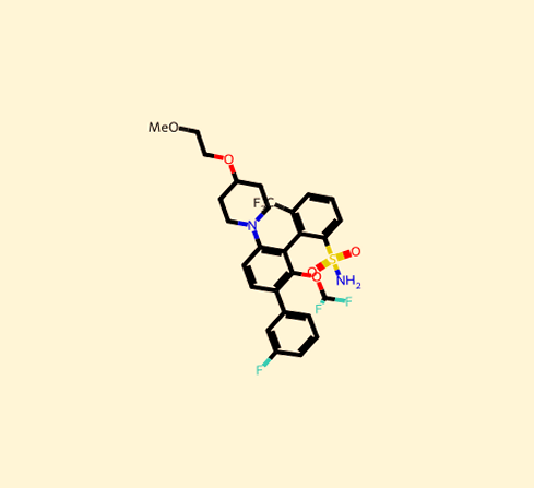 COCCOC1CCN(c2ccc(-c3cccc(F)c3)c(OC(F)F)c2-c2c(C(F)(F)F)cccc2S(N)(=O)=O)CC1